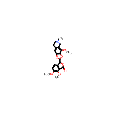 COc1ccc2c(c1OC)C(=O)OC2C1Oc2cc3c(c(OC)c2O1)CN(C)CC3